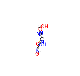 C[C@H]1COCCN1C1CC(C(=O)Nc2nc3ccc(-c4cnc(CO[C@H]5CCC[C@@H]5O)nc4)cc3s2)C1